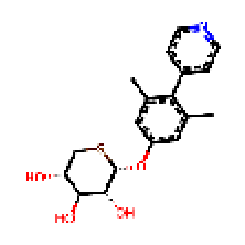 Cc1cc(O[C@H]2SC[C@@H](O)[C@H](O)[C@H]2O)cc(C)c1-c1ccncc1